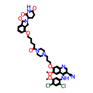 COc1cc(Nc2c(C#N)cnc3cc(OCCCN4CCN(C(=O)CCCCOc5cccc6c5CN(C5CCC(=O)NC5=O)C6=O)CC4)c(OC)cc23)c(Cl)cc1Cl